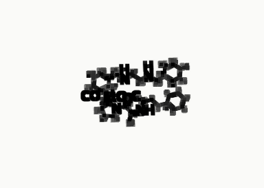 CCOC(=O)[C@H](CCc1ccccc1)N[C@@H](C)C(=O)N1CCC[C@H]1C(=O)O.c1ccc(CNCCNCc2ccccc2)cc1